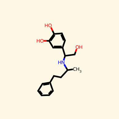 CC(CCc1ccccc1)NC(CO)c1ccc(O)c(O)c1